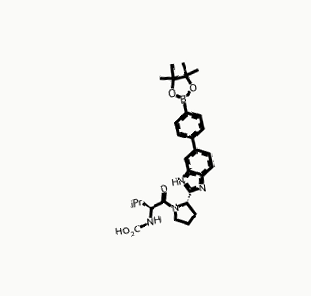 CC(C)[C@H](NC(=O)O)C(=O)N1CCC[C@H]1c1nc2ccc(-c3ccc(B4OC(C)(C)C(C)(C)O4)cc3)cc2[nH]1